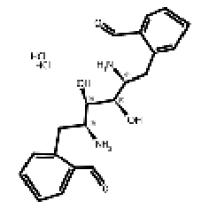 Cl.Cl.N[C@@H](Cc1ccccc1C=O)[C@@H](O)[C@H](O)[C@@H](N)Cc1ccccc1C=O